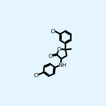 CC1(c2cccc(Cl)c2)CC(Nc2ccc(Cl)cc2)C(=O)O1